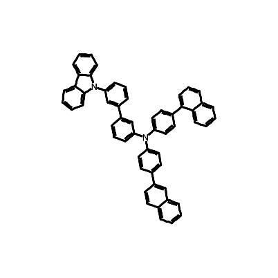 c1cc(-c2cccc(-n3c4ccccc4c4ccccc43)c2)cc(N(c2ccc(-c3ccc4ccccc4c3)cc2)c2ccc(-c3cccc4ccccc34)cc2)c1